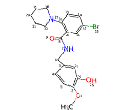 COc1ccc(CNC(=O)c2cc(Br)ccc2N2CCCCC2)cc1O